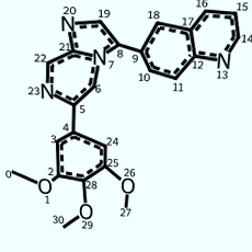 COc1cc(-c2cn3c(-c4ccc5ncccc5c4)cnc3cn2)cc(OC)c1OC